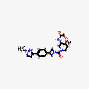 Cn1ccc(-c2ccc(C3CN(C(=O)N4CC[C@@H]5OCC(=O)NC5C4)C3)cc2)n1